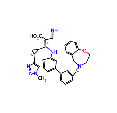 Cn1cc([C@H]2CC2/C(Nc2cccc(-c3cccc(CN4CCOc5ccccc5C4)c3)c2)=C(/C=N)C(=O)O)nn1